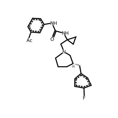 CC(=O)c1cccc(NC(=O)NC2(CN3CCC[C@@H](Cc4ccc(F)cc4)C3)CC2)c1